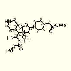 COC(=O)CN1CCN(C2C[N+](C)(C(C(=N)NC(=O)OC(C)(C)C)C3CCNCC3)C(=O)O2)CC1